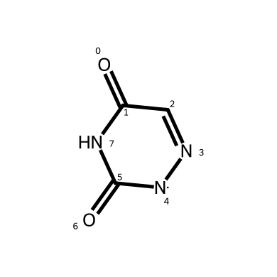 O=C1C=N[N]C(=O)N1